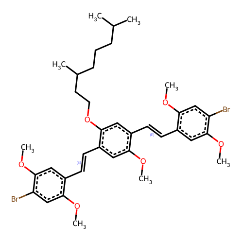 COc1cc(/C=C/c2cc(OCCC(C)CCCC(C)C)c(/C=C/c3cc(OC)c(Br)cc3OC)cc2OC)c(OC)cc1Br